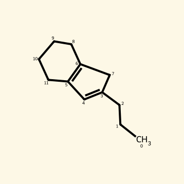 CCCC1=CC2=C([CH]1)CCCC2